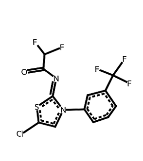 O=C(N=c1sc(Cl)cn1-c1cccc(C(F)(F)F)c1)C(F)F